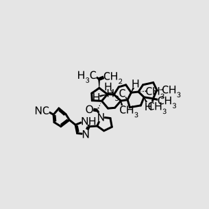 C=C(C)[C@@H]1CC[C@]2(C(=O)N3CCCC3c3ncc(-c4ccc(C#N)cc4)[nH]3)CC[C@]3(C)[C@H](CC[C@@H]4[C@@]5(C)CC[C@H](C)C(C)(C)[C@@H]5CC[C@]43C)[C@@H]12